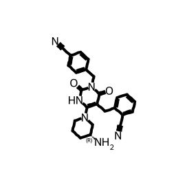 N#Cc1ccc(Cn2c(=O)[nH]c(N3CCC[C@@H](N)C3)c(Cc3ccccc3C#N)c2=O)cc1